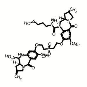 C=C1C[C@H]2CN(C(=O)N(N)CCCSO)c3cc(OCCP(=O)(CCOc4cc5c(cc4OC)C(=O)N4CC(=C)C[C@H]4C(S(=O)(=O)O)N5)OCC)c(OC)cc3C(=O)N2C1